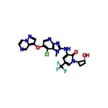 Cn1c(Nc2cc(C(F)(F)F)cn([C@@H]3CC[C@H]3O)c2=O)nc2ncc(Oc3cnn4ccncc34)c(Cl)c21